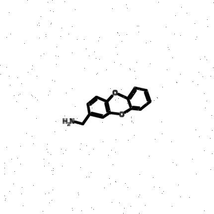 NCc1ccc2c(c1)Oc1ccccc1O2